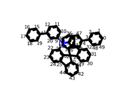 c1ccc(-c2ccc(N(c3cccc(-c4ccccc4)c3)c3cccc4c3C3(c5ccccc5-c5ccccc53)c3ccccc3-4)cc2)cc1